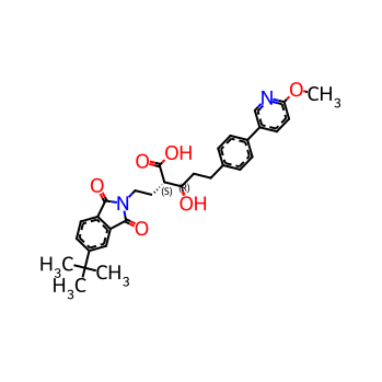 COc1ccc(-c2ccc(CC[C@@H](O)[C@H](CCN3C(=O)c4ccc(C(C)(C)C)cc4C3=O)C(=O)O)cc2)cn1